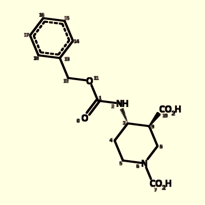 O=C(N[C@H]1CCN(C(=O)O)C[C@@H]1C(=O)O)OCc1ccccc1